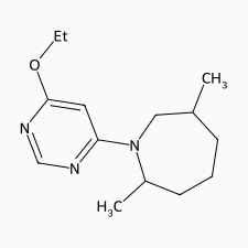 CCOc1cc(N2CC(C)CCCC2C)ncn1